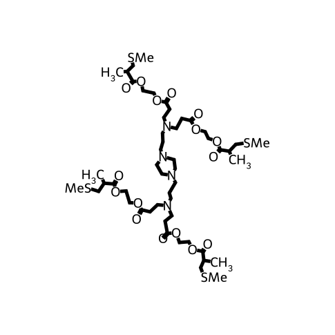 CSCC(C)C(=O)OCCOC(=O)CCN(CCCN1CCN(CCCN(CCC(=O)OCCOC(=O)C(C)CSC)CCC(=O)OCCOC(=O)C(C)CSC)CC1)CCC(=O)OCCOC(=O)C(C)CSC